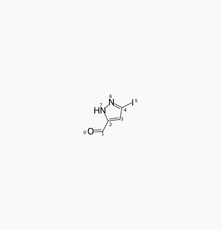 O=Cc1cc(I)n[nH]1